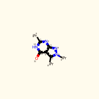 CC(C)c1nc2nn(C(C)C)c(C(C)C)c2c(=O)[nH]1